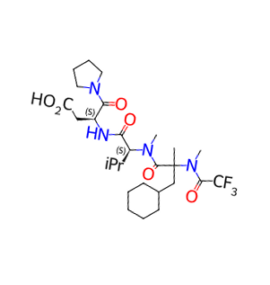 CC(C)[C@@H](C(=O)N[C@@H](CC(=O)O)C(=O)N1CCCC1)N(C)C(=O)C(C)(CC1CCCCC1)N(C)C(=O)C(F)(F)F